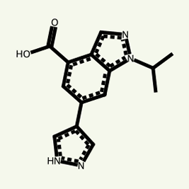 CC(C)n1ncc2c(C(=O)O)cc(-c3cn[nH]c3)cc21